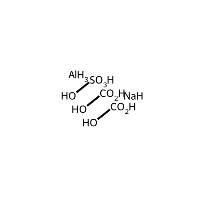 O=C(O)O.O=C(O)O.O=S(=O)(O)O.[AlH3].[NaH]